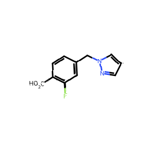 O=C(O)c1ccc(Cn2c[c]cn2)cc1F